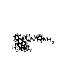 Nc1ccc(NCCCNc2cc(S(=O)(=O)O)c(N)c3c2C(=O)c2ccccc2C3=O)cc1